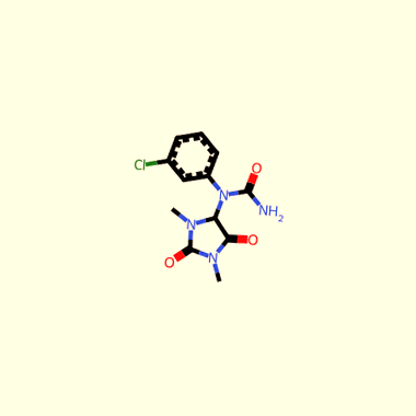 CN1C(=O)C(N(C(N)=O)c2cccc(Cl)c2)N(C)C1=O